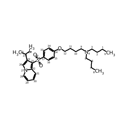 CCCCN(CCCC)CCCCOc1ccc(S(=O)(=O)c2c(C(C)C)cn3ccccc23)cc1